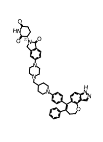 O=C1CC[C@H](N2Cc3cc(N4CCN(CC5CCN(c6ccc(C7=C(c8ccccc8)CCOc8c7ccc7[nH]ncc87)cc6)CC5)CC4)ccc3C2=O)C(=O)N1